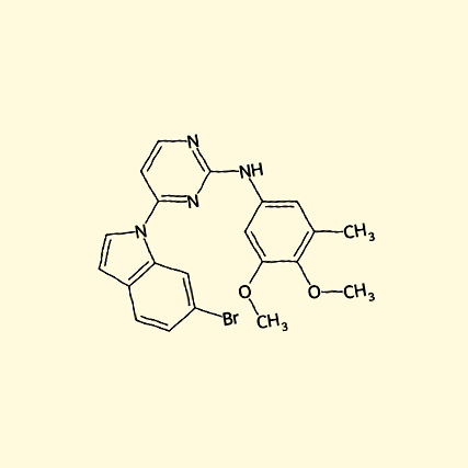 COc1cc(Nc2nccc(-n3ccc4ccc(Br)cc43)n2)cc(C)c1OC